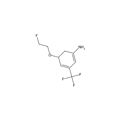 NC1=CC(C(F)(F)F)=CC(OCCF)C1